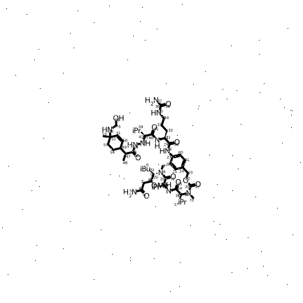 CC[C@H](C)[C@@H]([C@@H](CC(N)=O)OC)N(C)C(=O)[C@@H](NC(=O)[C@H](C(C)C)N(C)C(=O)OCc1ccc(NC(=O)[C@H](CCCNC(N)=O)NC(=O)[C@@H](NNC(=O)C(C)C2C=CC(C)(NCO)CC2)C(C)C)cc1)C(C)C